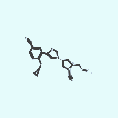 COC[C@@H]1C[C@@H](N2C=C(c3cc(C#N)ccc3OC3CC3)OC2)CN1C#N